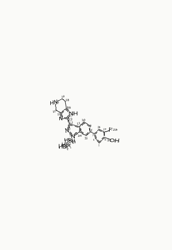 Br.Br.Br.Oc1ccc(-c2ccc3c(-c4nc5c([nH]4)CCNC5)n[nH]c3c2)cc1F